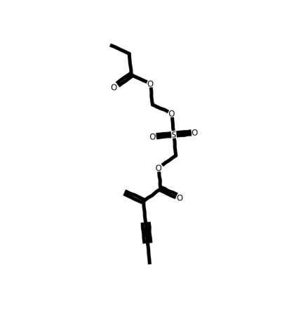 C=C(C#CC)C(=O)OCS(=O)(=O)OCOC(=O)CC